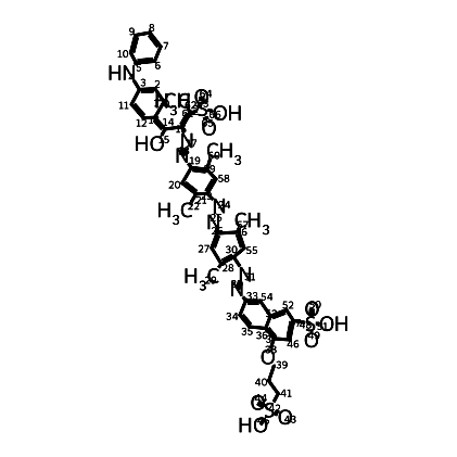 C=c1cc(Nc2ccccc2)cc/c1=C(O)/C(N=Nc1cc(C)c(N=Nc2cc(C)c(N=Nc3ccc4c(OCCCS(=O)(=O)O)cc(S(=O)(=O)O)cc4c3)cc2C)cc1C)=C(\C)S(=O)(=O)O